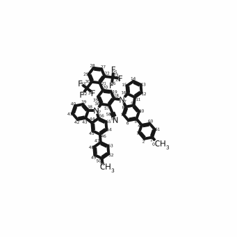 Cc1ccc(-c2ccc3c(c2)c2ccccc2n3-c2cc(-c3c(C(F)(F)F)cccc3C(F)(F)F)cc(-n3c4ccccc4c4cc(-c5ccc(C)cc5)ccc43)c2C#N)cc1